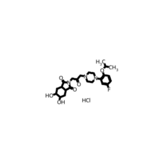 CC(C)Oc1ccc(F)cc1N1CCN(CC(=O)CN2C(=O)C3CC(O)C(O)CC3C2=O)CC1.Cl